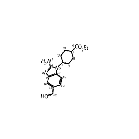 CCOC(=O)[C@H]1CC[C@@H](n2c(N)nc3cc(CO)ccc32)CC1